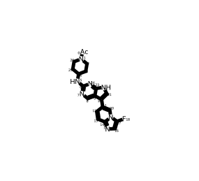 CC(=O)N1CCC(Nc2ncc3c(-c4ccc5ncc(F)n5c4)c[nH]c3n2)CC1